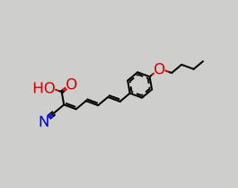 CCCCOc1ccc(C=CC=CC=C(C#N)C(=O)O)cc1